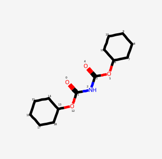 O=C(NC(=O)OC1CCCCC1)OC1CCCCC1